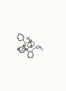 CCc1ccccc1N(C)[C@@H]1C2CCN(CC2)[C@@H]1C(c1ccccc1)c1ccccc1